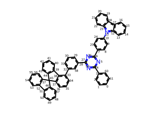 c1ccc(-c2nc(-c3ccc(-n4c5ccccc5c5ccccc54)cc3)nc(-c3cccc(-c4cccc5c4-c4ccccc4C54c5ccccc5-c5ccccc54)c3)n2)cc1